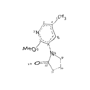 COc1ncc(C)cc1N1CCCC1=O